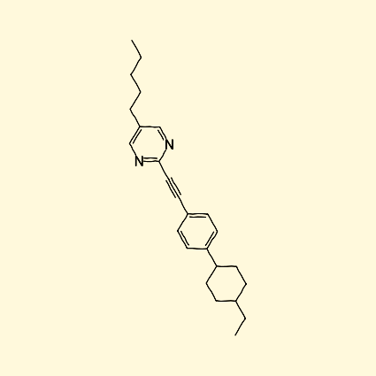 CCCCCc1cnc(C#Cc2ccc(C3CCC(CC)CC3)cc2)nc1